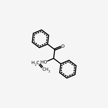 C=C.O=C(c1ccccc1)C(O)c1ccccc1